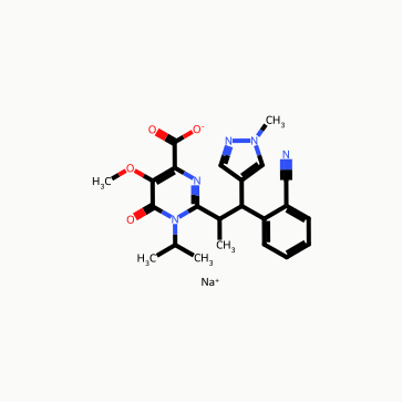 COc1c(C(=O)[O-])nc(C(C)C(c2cnn(C)c2)c2ccccc2C#N)n(C(C)C)c1=O.[Na+]